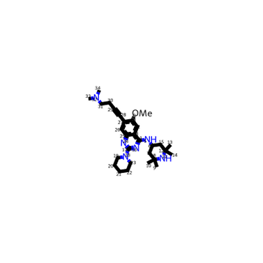 COc1cc2c(NC3CC(C)(C)NC(C)(C)C3)nc(N3CCCCC3)nc2cc1C#CCCN(C)C